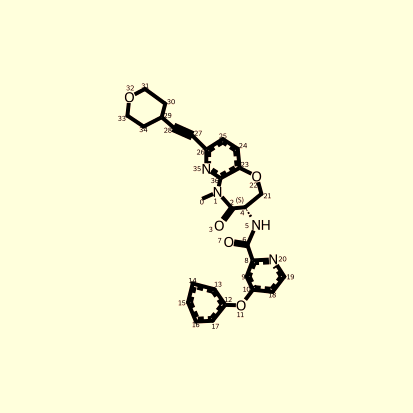 CN1C(=O)[C@@H](NC(=O)c2cc(Oc3ccccc3)ccn2)COc2ccc(C#CC3CCOCC3)nc21